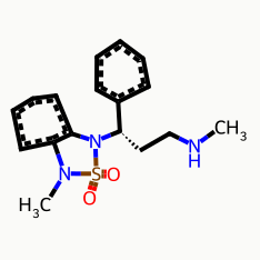 CNCC[C@@H](c1ccccc1)N1c2ccccc2N(C)S1(=O)=O